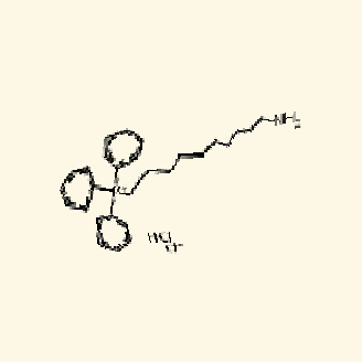 Cl.NCCCCCCCCCC[P+](c1ccccc1)(c1ccccc1)c1ccccc1.[Cl-]